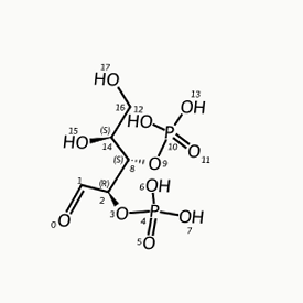 O=C[C@H](OP(=O)(O)O)[C@@H](OP(=O)(O)O)[C@@H](O)CO